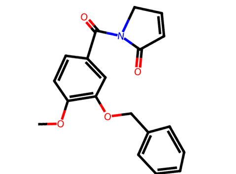 COc1ccc(C(=O)N2CC=CC2=O)cc1OCc1ccccc1